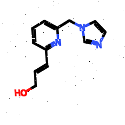 OCC=Cc1cccc(Cn2ccnc2)n1